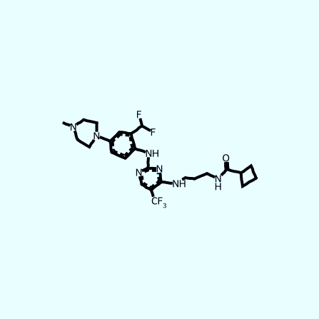 CN1CCN(c2ccc(Nc3ncc(C(F)(F)F)c(NCCCNC(=O)C4CCC4)n3)c(C(F)F)c2)CC1